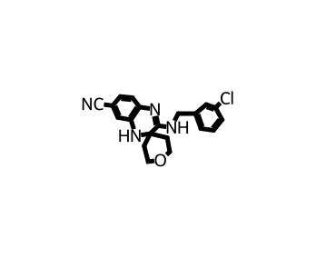 N#Cc1ccc2c(c1)NC1(CCOCC1)C(NCc1cccc(Cl)c1)=N2